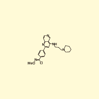 CO/N=C(\Cl)c1ccc(-c2cc(NCCCN3CCCCC3)c3cnccc3n2)cc1